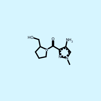 Cn1cc(N)c(C(=O)N2CCCC2CO)n1